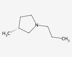 CCCN1CC[C@@H](C)C1